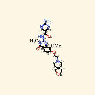 COc1c(OCCN2CCC3(CCOC3)CC2)ccc2c(=O)n(C)c(NC(=O)c3cnc(N)nc3)nc12